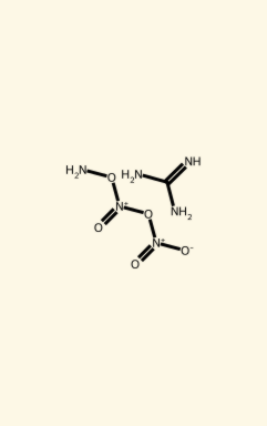 N=C(N)N.NO[N+](=O)O[N+](=O)[O-]